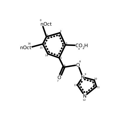 CCCCCCCCc1cc(C(=O)O)c(C(=O)On2ccnc2)cc1CCCCCCCC